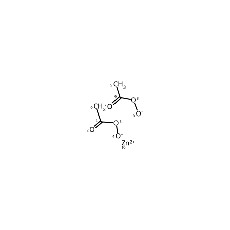 CC(=O)O[O-].CC(=O)O[O-].[Zn+2]